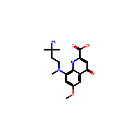 COc1cc(N(C)CCC(C)(C)N)c2[nH]c(C(=O)O)cc(=O)c2c1